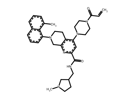 C=CC(=O)N1CCN(c2cc(C(=O)NCC3CCN(C)C3)nc3c2CCN(c2cccc4cccc(C)c24)C3)CC1